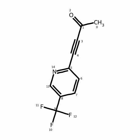 CC(=O)C#Cc1ccc(C(F)(F)F)cn1